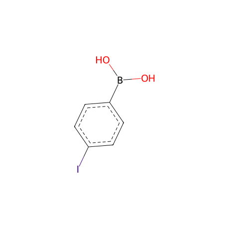 OB(O)c1ccc(I)cc1